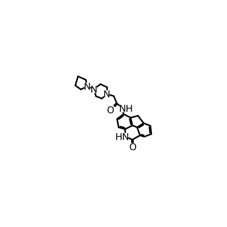 O=C(CN1CCN(N2CCCC2)CC1)Nc1ccc2[nH]c(=O)c3cccc4c3c2c1C4